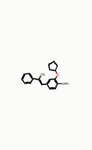 COc1ccc(/C=C(\C#N)c2ccccc2)cc1OC1CCCC1